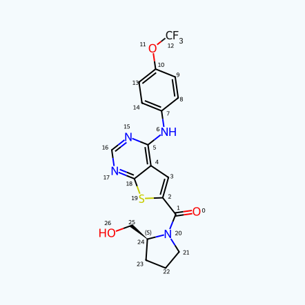 O=C(c1cc2c(Nc3ccc(OC(F)(F)F)cc3)ncnc2s1)N1CCC[C@H]1CO